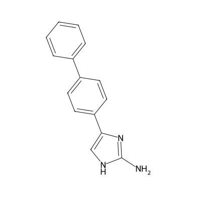 Nc1nc(-c2ccc(-c3ccccc3)cc2)c[nH]1